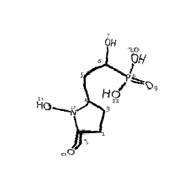 O=C1CCC(CC(O)P(=O)(O)O)N1O